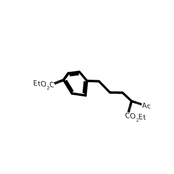 CCOC(=O)c1ccc(CCCC(C(C)=O)C(=O)OCC)cc1